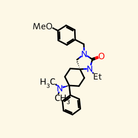 CCN1C(=O)N(Cc2ccc(OC)cc2)C[C@]12CC[C@](c1ccccc1)(N(C)C)CC2